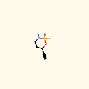 C#CC1CCN(C)P(C)(=S)O1